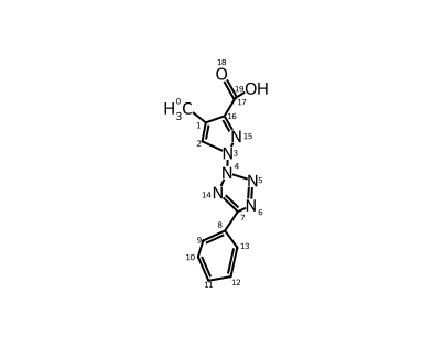 Cc1cn(-n2nnc(-c3ccccc3)n2)nc1C(=O)O